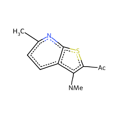 CNc1c(C(C)=O)sc2nc(C)ccc12